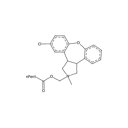 CCCCCC(=O)OC[N+]1(C)CC2c3ccccc3Oc3ccc(Cl)cc3C2C1